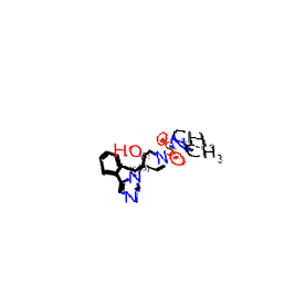 CN(C)S(=O)(=O)N1CC[C@@H]([C@H]2c3ccccc3-c3cncn32)[C@H](O)C1